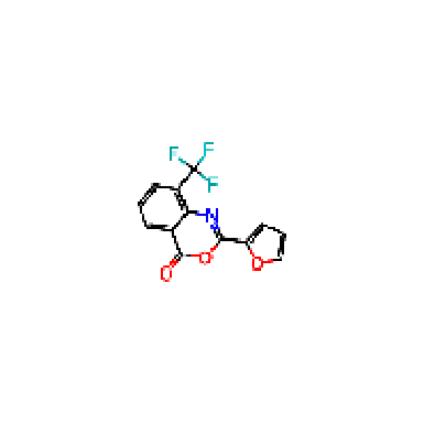 O=c1oc(-c2ccco2)nc2c(C(F)(F)F)cccc12